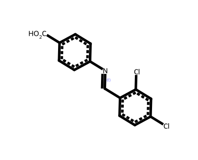 O=C(O)c1ccc(/N=C/c2ccc(Cl)cc2Cl)cc1